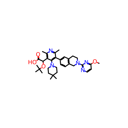 COc1ccnc(N2CCc3cc(-c4c(C)nc(C)c(C(OC(C)(C)C)C(=O)O)c4N4CCC(C)(C)CC4)ccc3C2)n1